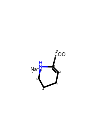 O=C([O-])C1=CCCCN1.[Na+]